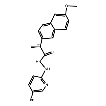 COc1ccc2cc([C@H](C)C(=O)NNc3ccc(Br)cn3)ccc2c1